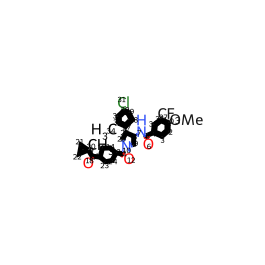 COc1ccc(C(=O)N[C@H]2CN(C(=O)C3CCC(C(=O)C4(C)CC4)CC3)C[C@@H]2c2ccc(Cl)cc2C)cc1C(F)(F)F